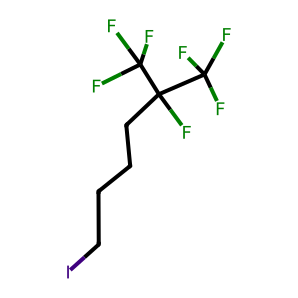 FC(F)(F)C(F)(CCCCI)C(F)(F)F